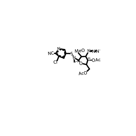 COC1C(N=[N+]=[N-])[C@@H](OC(C)=O)C(COC(C)=O)O[C@]12CN2Sc1cnc(C#N)c(Cl)c1